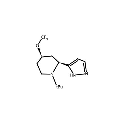 CC(C)(C)N1CC[C@@H](OC(F)(F)F)C[C@H]1c1ccn[nH]1